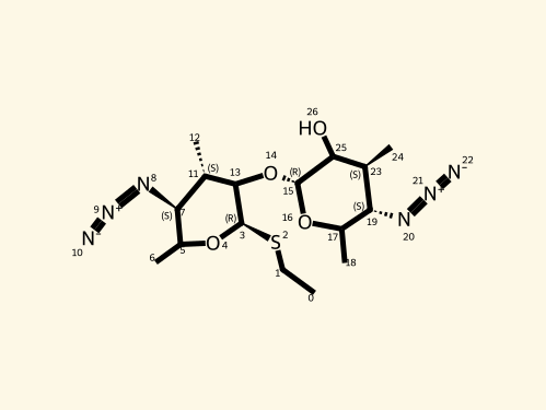 CCS[C@H]1OC(C)[C@@H](N=[N+]=[N-])[C@H](C)C1O[C@H]1OC(C)[C@@H](N=[N+]=[N-])[C@H](C)C1O